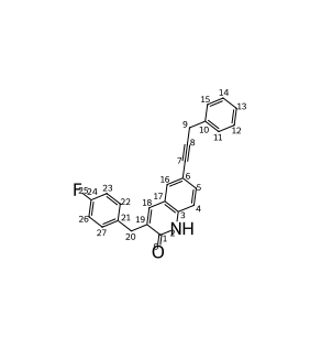 O=c1[nH]c2ccc(C#CCc3ccccc3)cc2cc1Cc1ccc(F)cc1